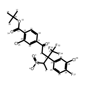 CC([N+](=O)[O-])C(CC(=O)c1ccc(C(=O)OC(C)(C)C)c(Cl)c1)(c1ccc(F)c(Cl)c1)C(F)(F)F